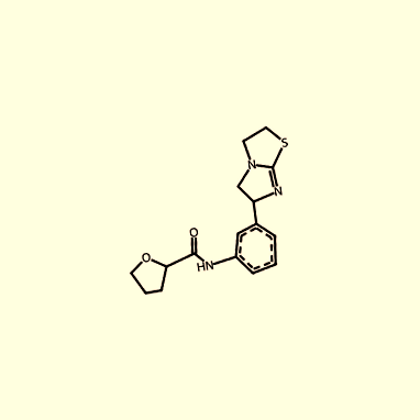 O=C(Nc1cccc(C2CN3CCSC3=N2)c1)C1CCCO1